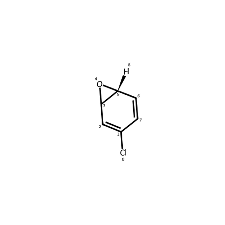 ClC1=CC2O[C@@H]2C=C1